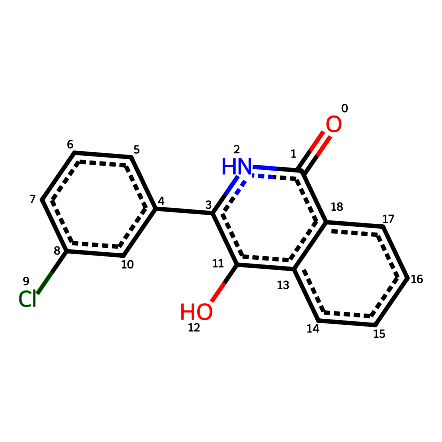 O=c1[nH]c(-c2cccc(Cl)c2)c(O)c2ccccc12